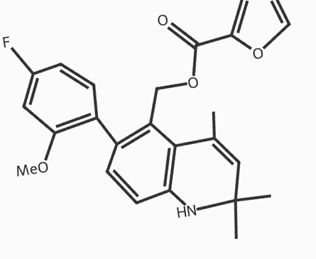 COc1cc(F)ccc1-c1ccc2c(c1COC(=O)c1ccco1)C(C)=CC(C)(C)N2